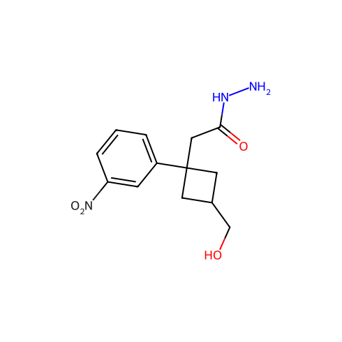 NNC(=O)CC1(c2cccc([N+](=O)[O-])c2)CC(CO)C1